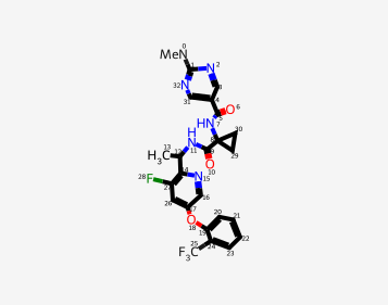 CNc1ncc(C(=O)NC2(C(=O)NC(C)c3ncc(Oc4ccccc4C(F)(F)F)cc3F)CC2)cn1